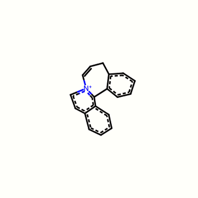 C1=C[n+]2ccc3ccccc3c2-c2ccccc2C1